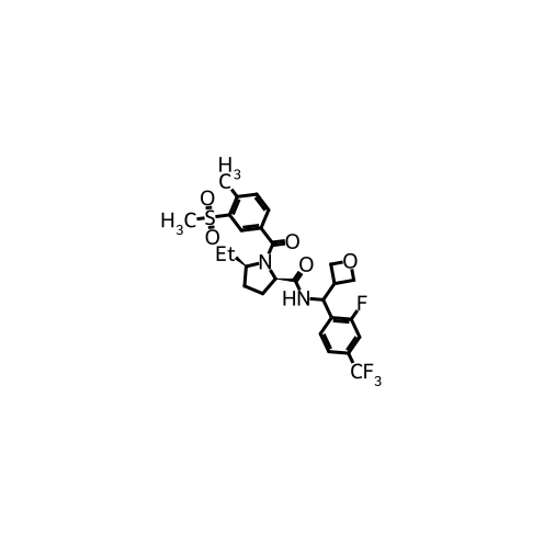 CC[C@@H]1CC[C@H](C(=O)NC(c2ccc(C(F)(F)F)cc2F)C2COC2)N1C(=O)c1ccc(C)c(S(C)(=O)=O)c1